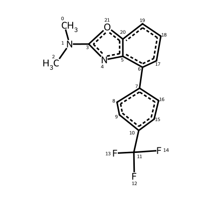 CN(C)c1nc2c(-c3ccc(C(F)(F)F)cc3)cccc2o1